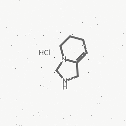 C1=C2CNCN2CCC1.Cl